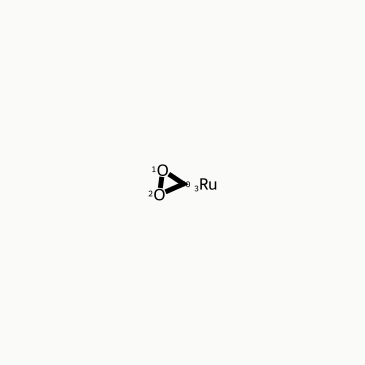 C1OO1.[Ru]